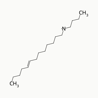 CCCCC=CCCCCCCC[N]CCCC